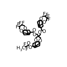 CC(F)(F)C(=O)OC12CC3CC(C1)C1(OCC(COC(=O)C45CC6CC(C4)C4(OCC(F)(F)C(F)(F)CO4)C(C6)C5)(COC(=O)C45CC6CC(C4)C4(OCC(F)(F)C(F)(F)CO4)C(C6)C5)CO1)C(C3)C2